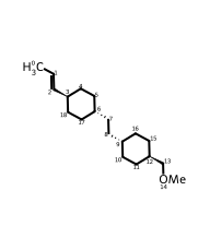 CC=C[C@H]1CC[C@H](CC[C@H]2CC[C@H](COC)CC2)CC1